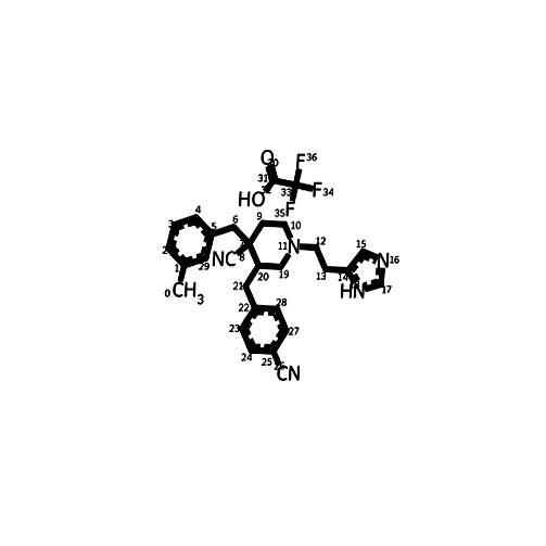 Cc1cccc(CC2(C#N)CCN(CCc3cnc[nH]3)CC2Cc2ccc(C#N)cc2)c1.O=C(O)C(F)(F)F